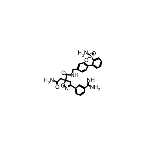 N=C(N)c1cccc(C2=NOC(CC(N)=O)(C(=O)NCc3ccc(-c4ccccc4S(N)(=O)=O)cc3)C2)c1